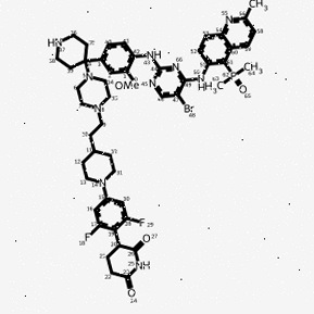 COc1cc(C2(N3CCN(CCC4CCN(c5cc(F)c(C6CCC(=O)NC6=O)c(F)c5)CC4)CC3)CCNCC2)ccc1Nc1ncc(Br)c(Nc2ccc3nc(C)ccc3c2P(C)(C)=O)n1